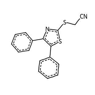 N#CCSc1nc(-c2ccccc2)c(-c2ccccc2)s1